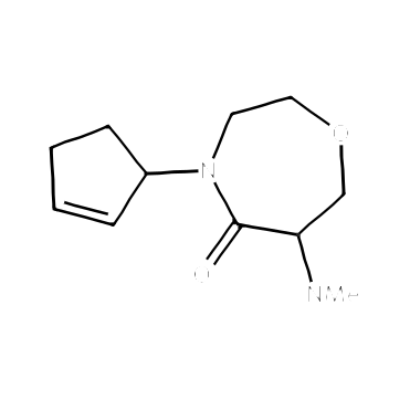 CNC1COCCN(C2C=CCC2)C1=O